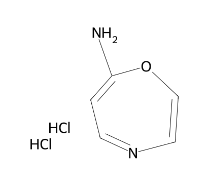 Cl.Cl.NC1=CC=NC=CO1